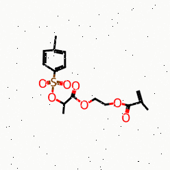 C=C(C)C(=O)OCCOC(=O)C(C)OS(=O)(=O)c1ccc(C)cc1